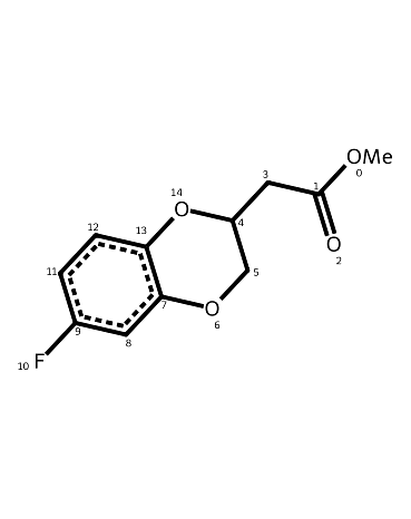 COC(=O)CC1COc2cc(F)ccc2O1